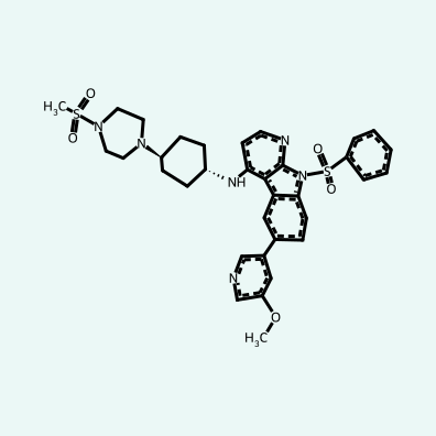 COc1cncc(-c2ccc3c(c2)c2c(N[C@H]4CC[C@H](N5CCN(S(C)(=O)=O)CC5)CC4)ccnc2n3S(=O)(=O)c2ccccc2)c1